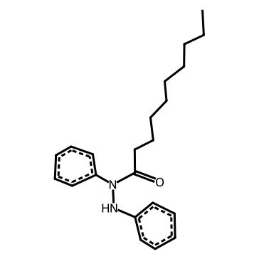 CCCCCCCCCC(=O)N(Nc1ccccc1)c1ccccc1